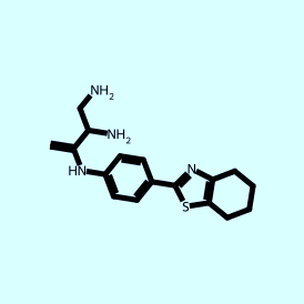 C=C(Nc1ccc(-c2nc3c(s2)CCCC3)cc1)C(N)CN